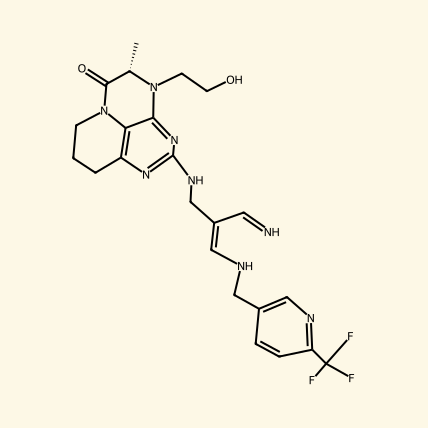 C[C@H]1C(=O)N2CCCc3nc(NC/C(C=N)=C/NCc4ccc(C(F)(F)F)nc4)nc(c32)N1CCO